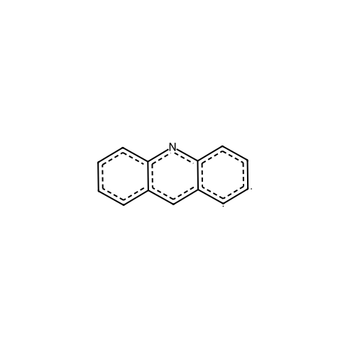 [c]1[c]c2cc3ccccc3nc2cc1